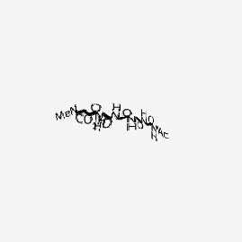 CN[C@@H](CCC(=O)NCC(=O)NCC(=O)NCC(=O)NCC(=O)NCC(C)=O)C(=O)O